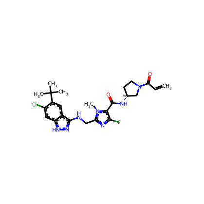 C=CC(=O)N1CC[C@@H](NC(=O)c2c(F)nc(CNc3n[nH]c4cc(Cl)c(C(C)(C)C)cc34)n2C)C1